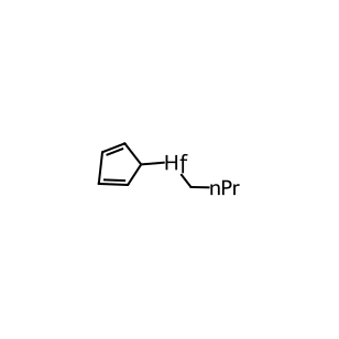 CCC[CH2][Hf][CH]1C=CC=C1